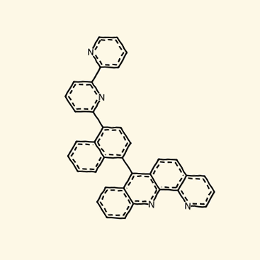 c1ccc(-c2cccc(-c3ccc(-c4c5ccccc5nc5c4ccc4cccnc45)c4ccccc34)n2)nc1